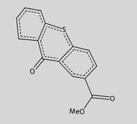 COC(=O)c1ccc2sc3ccccc3c(=O)c2c1